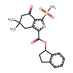 CC1(C)CC(=O)c2c(S(C)(=O)=O)sc(C(=O)OC3CCc4ccccc43)c2C1